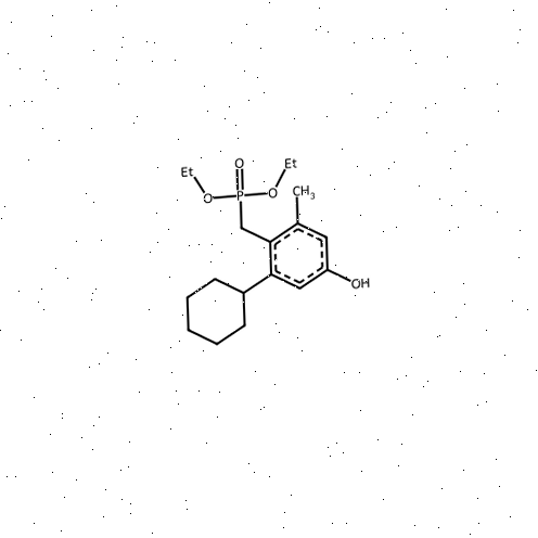 CCOP(=O)(Cc1c(C)cc(O)cc1C1CCCCC1)OCC